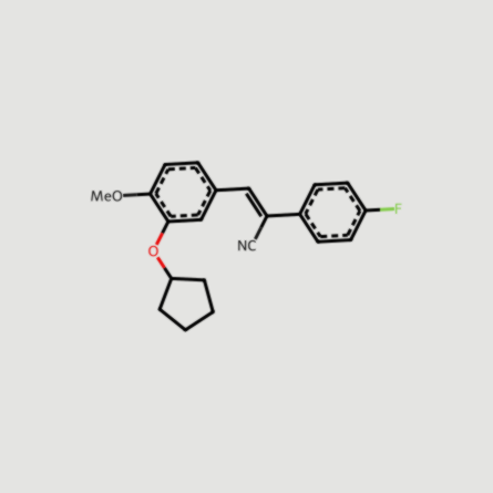 COc1ccc(/C=C(\C#N)c2ccc(F)cc2)cc1OC1CCCC1